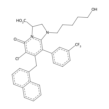 O=C(O)C1CN(CCCCCO)c2c(-c3cccc(C(F)(F)F)c3)c(Cc3cccc4ccccc34)c(Cl)c(=O)n21